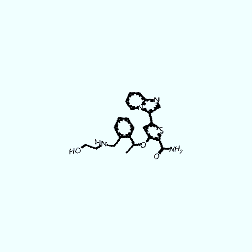 CC(Oc1cc(-c2cnc3ccccn23)sc1C(N)=O)c1ccccc1CNCCO